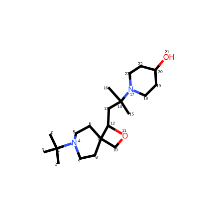 CC(C)(C)N1CCC2(CC1)COC2CC(C)(C)N1CCC(O)CC1